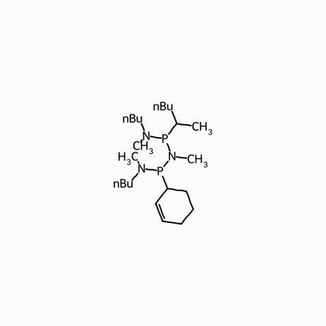 CCCCC(C)P(N(C)CCCC)N(C)P(C1C=CCCC1)N(C)CCCC